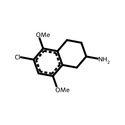 COc1cc(Cl)c(OC)c2c1CC(N)CC2